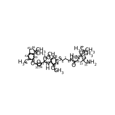 COc1nc(SCCCNC(=O)[C@@H](CCCN)NC(=O)OC(C)(C)C)nc(OC)c1NC(=O)c1ccc(Oc2cc3c(cc2C)CCC3(C)C)o1